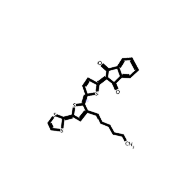 CCCCCCc1cc(=C2SC=CS2)s/c1=c1\ccc(=C2C(=O)c3ccccc3C2=O)s1